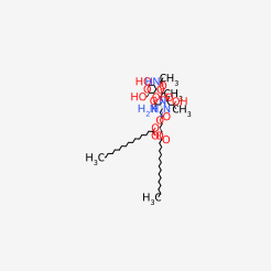 CCCCCCCCCCCCCCCC(=O)OC[C@H](COC(=O)CC[C@H](C(N)=O)N(CC(C)O[C@H]1[C@H](O)[C@@H](CO)O[C@H](O)[C@@H]1NC(C)=O)C(=O)[C@@H](N)[C@H](C)O)OC(=O)CCCCCCCCCCCCCCC